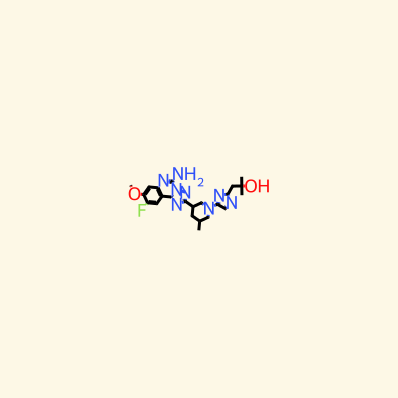 COc1cc2nc(N)n3nc(C4CC(C)CN(C5=NC(CC(C)(C)O)N=C5)C4)nc3c2cc1F